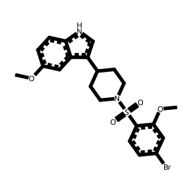 COc1ccc2[nH]cc(C3CCN(S(=O)(=O)c4ccc(Br)cc4OC)CC3)c2c1